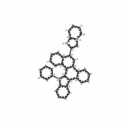 c1ccc(-n2c3ccccc3c3c4ccccc4c4cc(-c5cn6ccccc6n5)c5ccccc5c4c32)cc1